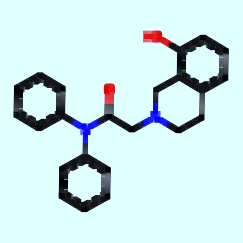 O=C(CN1CCc2cccc(O)c2C1)N(c1ccccc1)c1ccccc1